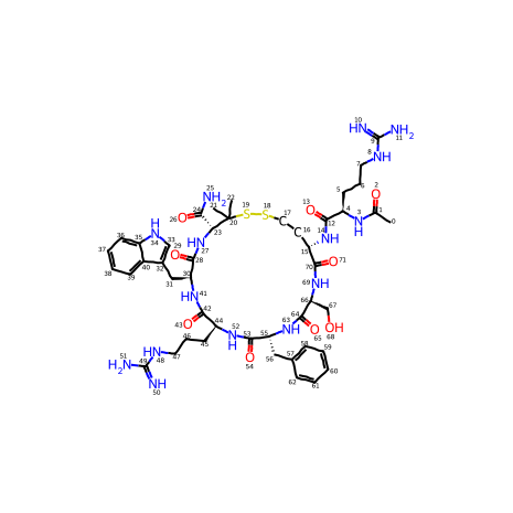 CC(=O)N[C@H](CCCNC(=N)N)C(=O)N[C@H]1CCSSC(C)(C)[C@@H](C(N)=O)NC(=O)[C@H](Cc2c[nH]c3ccccc23)NC(=O)[C@H](CCCNC(=N)N)NC(=O)[C@@H](Cc2ccccc2)NC(=O)[C@H](CO)NC1=O